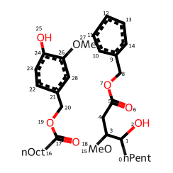 CCCCCC(O)C(CC(=O)OCc1ccccc1)OC.CCCCCCCCC(=O)OCc1ccc(O)c(OC)c1